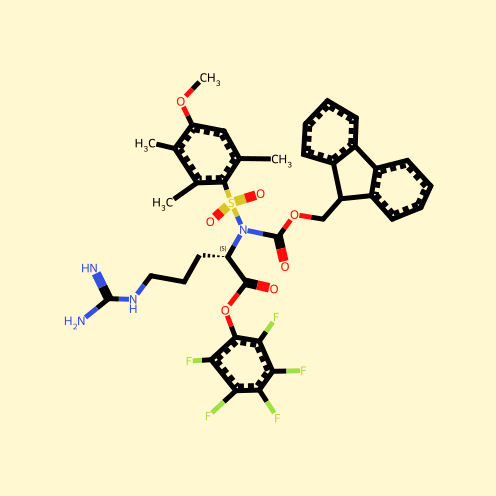 COc1cc(C)c(S(=O)(=O)N(C(=O)OCC2c3ccccc3-c3ccccc32)[C@@H](CCCNC(=N)N)C(=O)Oc2c(F)c(F)c(F)c(F)c2F)c(C)c1C